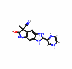 CC1(C#N)C(=O)Nc2cc3c(cc21)NC(c1cnccn1)N3